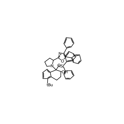 CC(C)(C)c1cccc2c1CCC(O)C2(O[SiH](c1ccccc1)c1ccccc1)N1CCCC1c1nc(-c2ccccc2)c(-c2ccccc2)o1